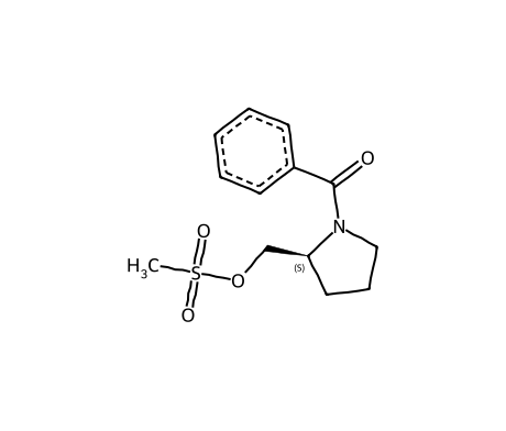 CS(=O)(=O)OC[C@@H]1CCCN1C(=O)c1ccccc1